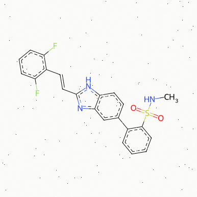 CNS(=O)(=O)c1ccccc1-c1ccc2[nH]c(/C=C/c3c(F)cccc3F)nc2c1